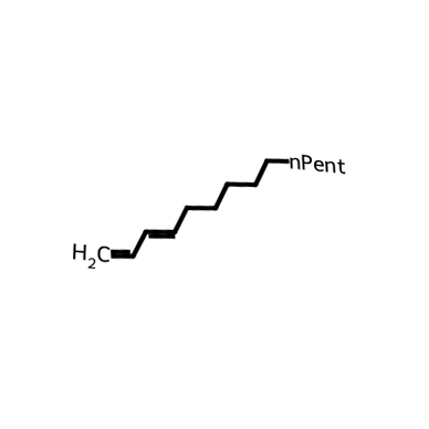 C=C/C=C/CCCCCCCCCC